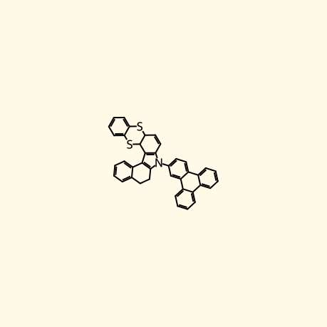 C1=CC2Sc3ccccc3SC2c2c3c(n(-c4ccc5c6ccccc6c6ccccc6c5c4)c21)CCc1ccccc1-3